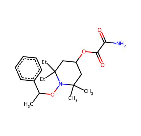 CCC1(CC)CC(OC(=O)C(N)=O)CC(C)(C)N1OC(C)c1ccccc1